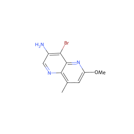 COc1cc(C)c2ncc(N)c(Br)c2n1